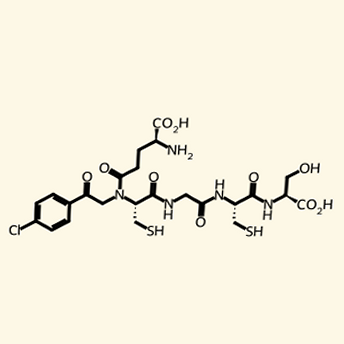 N[C@@H](CCC(=O)N(CC(=O)c1ccc(Cl)cc1)[C@@H](CS)C(=O)NCC(=O)N[C@@H](CS)C(=O)N[C@@H](CO)C(=O)O)C(=O)O